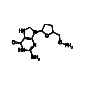 Nc1nc2c(c(=O)[nH]1)NCN2[C@H]1CCC(COP)O1